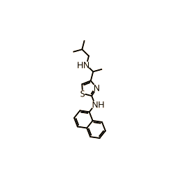 CC(C)CNC(C)c1csc(Nc2cccc3ccccc23)n1